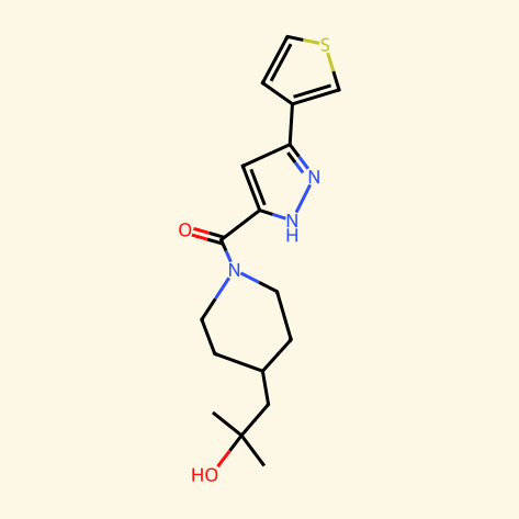 CC(C)(O)CC1CCN(C(=O)c2cc(-c3ccsc3)n[nH]2)CC1